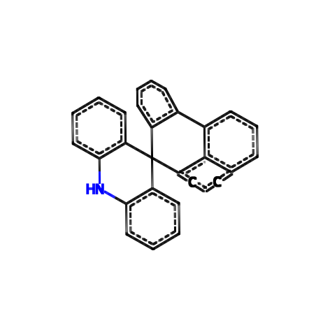 c1ccc2c(c1)Nc1ccccc1C21c2ccccc2-c2cccc3cccc1c23